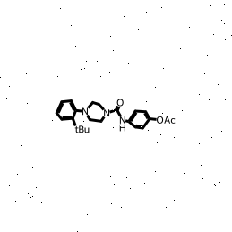 CC(=O)Oc1ccc(NC(=O)N2CCN(c3ccccc3C(C)(C)C)CC2)cc1